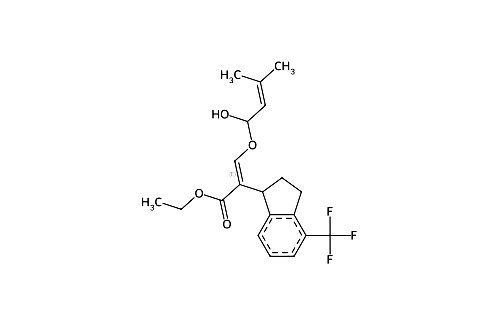 CCOC(=O)/C(=C/OC(O)C=C(C)C)C1CCc2c1cccc2C(F)(F)F